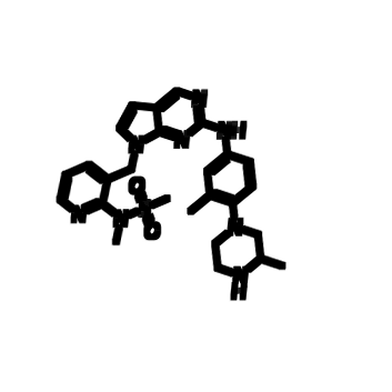 Cc1cc(Nc2ncc3ccn(Cc4cccnc4N(C)S(C)(=O)=O)c3n2)ccc1N1CCNC(C)C1